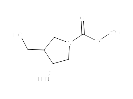 CC(C)(C)OC(=O)N1CC(CO)[C@@H](N)C1